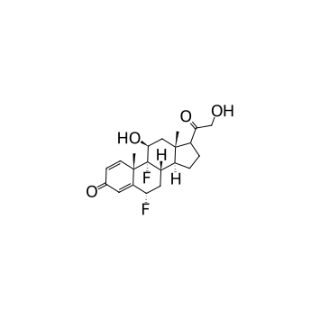 C[C@]12C=CC(=O)C=C1[C@@H](F)C[C@H]1[C@@H]3CCC(C(=O)CO)[C@@]3(C)C[C@H](O)[C@@]12F